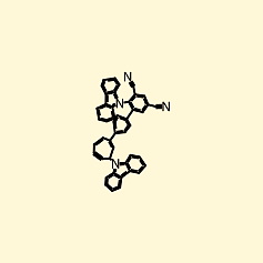 N#Cc1cc(C#N)c(-n2c3ccccc3c3ccccc32)c(-c2ccc(C3=CC(n4c5ccccc5c5ccccc54)C#CC=C3)cc2)c1